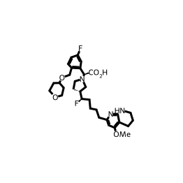 COc1cc(CCCC[C@@H](F)[C@@H]2CCN([C@H](C(=O)O)c3cc(F)ccc3COC3CCOCC3)C2)nc2c1CCCN2